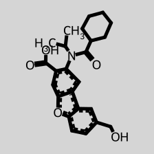 CC(C)N(C(=O)C1CCCCC1)c1cc2c(cc1C(=O)O)oc1ccc(CO)cc12